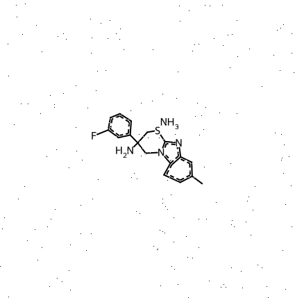 Cc1ccc2c(c1)nc1n2CC(N)(c2cccc(F)c2)CS1.N